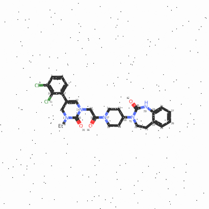 CCN1CC(c2cccc(Cl)c2Cl)=CN(CC(=O)N2CCC(N3CCc4ccccc4NC3=O)CC2)C1=O